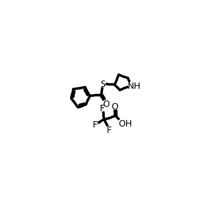 O=C(O)C(F)(F)F.O=C(SC1CCNC1)c1ccccc1